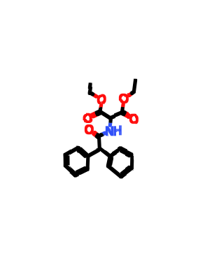 CCOC(=O)C(NC(=O)C(c1ccccc1)c1ccccc1)C(=O)OCC